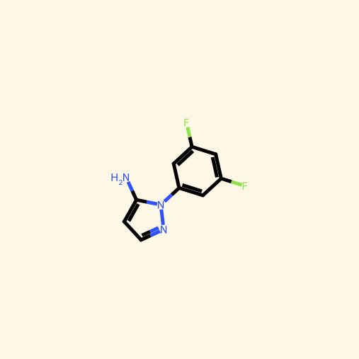 Nc1ccnn1-c1cc(F)cc(F)c1